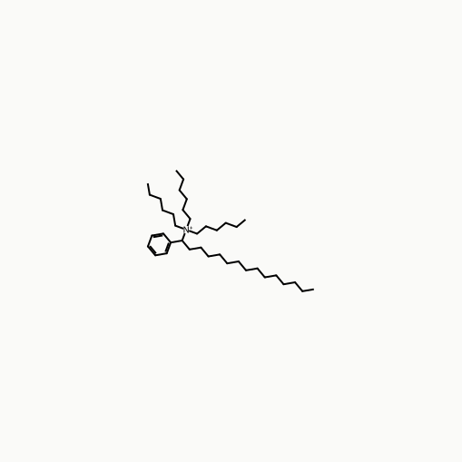 CCCCCCCCCCCCCCC(c1ccccc1)[N+](CCCCCC)(CCCCCC)CCCCCC